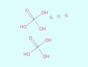 O=P(O)(O)O.O=P(O)(O)O.[S].[S].[S]